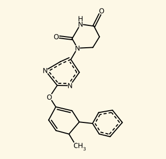 CC1C=CC(Oc2ncc(N3CCC(=O)NC3=O)cn2)=CC1c1ccccc1